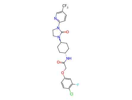 O=C(COc1ccc(Cl)c(F)c1)N[C@H]1CC[C@H](N2CCN(c3ccc(C(F)(F)F)cn3)C2=O)CC1